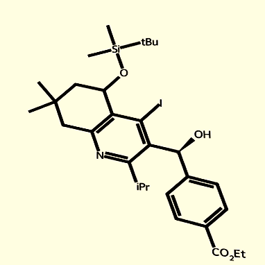 CCOC(=O)c1ccc([C@H](O)c2c(C(C)C)nc3c(c2I)C(O[Si](C)(C)C(C)(C)C)CC(C)(C)C3)cc1